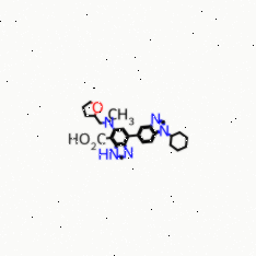 CN(CC1CCCO1)c1cc(-c2ccc3c(c2)ncn3C2CCCCC2)c2nc[nH]c2c1C(=O)O